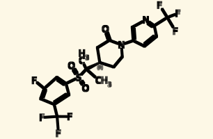 CC(C)([C@@H]1CCN(c2ccc(C(F)(F)F)nc2)C(=O)C1)S(=O)(=O)c1cc(F)cc(C(F)(F)F)c1